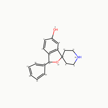 Oc1ccc2c(c1)C1(CCNCC1)OC2c1ccccc1